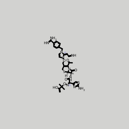 C=C(O)C(C)(C)O/N=C(\C(=O)N[C@@H]1C(=O)N2C(C(C)=O)=C(CON3C=CN(Cc4ccc(C(=N)N)cc4)/C3=C/C=N)CS[C@H]12)c1csc(N)n1